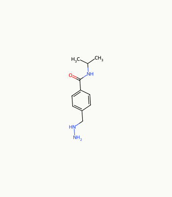 CC(C)NC(=O)c1ccc(CNN)cc1